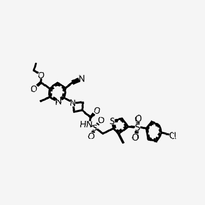 CCOC(=O)c1cc(C#N)c(N2CC(C(=O)NS(=O)(=O)Cc3scc(S(=O)(=O)c4ccc(Cl)cc4)c3C)C2)nc1C